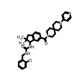 CC1(C)Cc2ccc(C(=O)N3CCC4(CC3)CCN(c3ccncc3)CC4)cc2C1NC(=O)NCc1ccccc1Cl